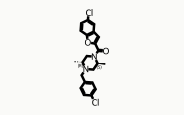 C[C@@H]1CN(C(=O)c2cc3cc(Cl)ccc3o2)[C@@H](C)CN1Cc1ccc(Cl)cc1